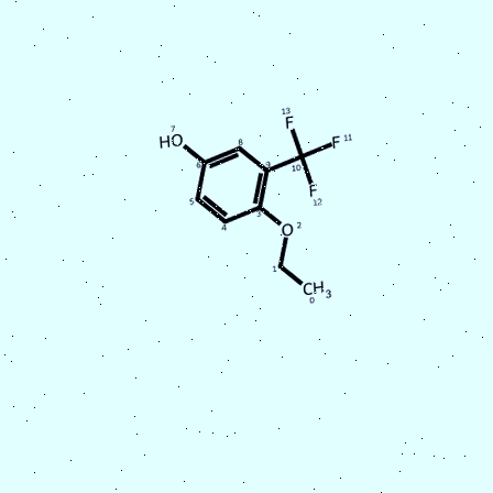 CCOc1ccc(O)cc1C(F)(F)F